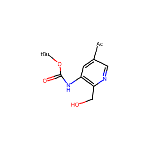 CC(=O)c1cnc(CO)c(NC(=O)OC(C)(C)C)c1